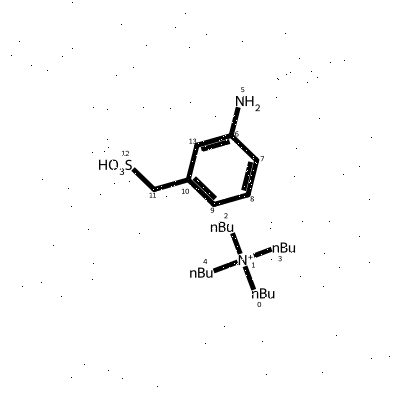 CCCC[N+](CCCC)(CCCC)CCCC.Nc1cccc(CS(=O)(=O)O)c1